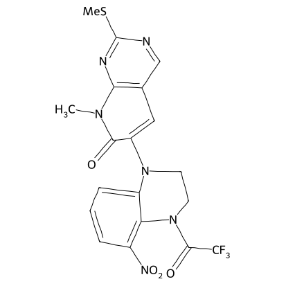 CSc1ncc2cc(N3CCN(C(=O)C(F)(F)F)c4c3cccc4[N+](=O)[O-])c(=O)n(C)c2n1